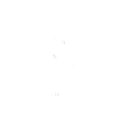 Cc1ccc2nc(N3CCOCC3)ccc2c1